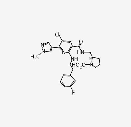 Cn1cc(-c2nc(NCCc3cccc(F)c3)c(C(=O)NC[C@H]3CCCN3C(=O)O)cc2Cl)cn1